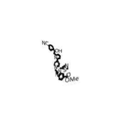 COC(=O)c1ccc2nc(CN3CCC(c4cccc(CC(O)c5ccc(C#N)cc5)n4)CC3)n(Cc3cncs3)c2c1